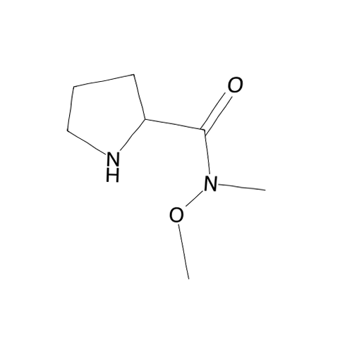 CON(C)C(=O)C1CCCN1